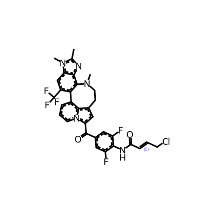 Cc1nc2c3c(c(C(F)(F)F)cc2n1C)-c1cccn2c(C(=O)c4cc(F)c(NC(=O)/C=C/CCl)c(F)c4)cc(c12)CCN3C